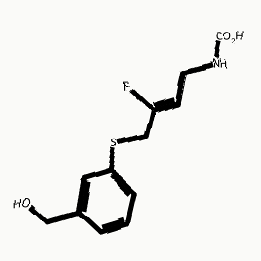 O=C(O)NC/C=C(\F)CSc1cccc(CO)c1